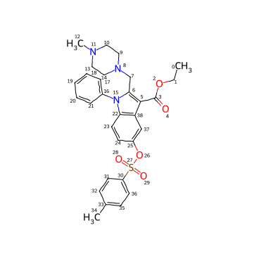 CCOC(=O)c1c(CN2CCN(C)CC2)n(-c2ccccc2)c2ccc(OS(=O)(=O)c3ccc(C)cc3)cc12